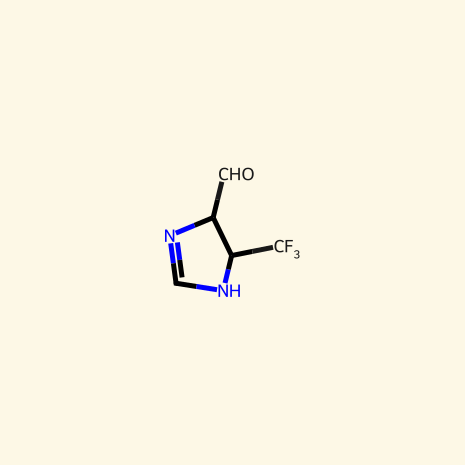 O=CC1N=CNC1C(F)(F)F